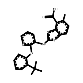 Cc1ccc2sc(Nc3cccnc3Oc3ccccc3C(C)(C)C)nc2c1C(=O)O